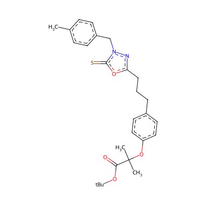 Cc1ccc(Cn2nc(CCCc3ccc(OC(C)(C)C(=O)OC(C)(C)C)cc3)oc2=S)cc1